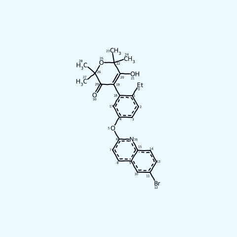 CCc1ccc(Oc2ccc3cc(Br)ccc3n2)cc1C1=C(O)C(C)(C)OC(C)(C)C1=O